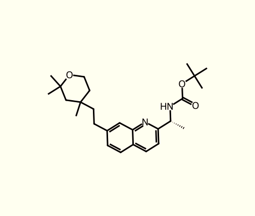 C[C@@H](NC(=O)OC(C)(C)C)c1ccc2ccc(CCC3(C)CCOC(C)(C)C3)cc2n1